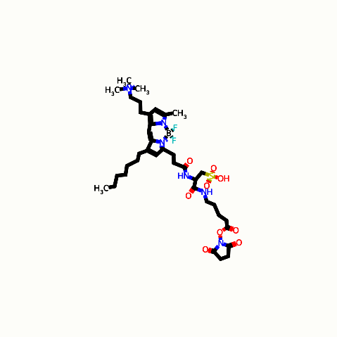 CCCCCCCC1=CC(CCC(=O)NC(CS(=O)(=O)O)C(=O)NCCCCC(=O)ON2C(=O)CCC2=O)=[N+]2C1=Cc1c(CCC[N+](C)(C)C)cc(C)n1[B-]2(F)F